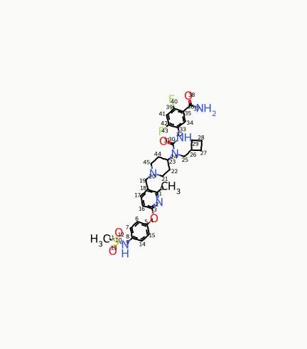 Cc1nc(Oc2ccc(NS(C)(=O)=O)cc2)ccc1CN1CCC(N(CC2CCC2)C(=O)Nc2cc(C(N)=O)c(F)cc2F)CC1